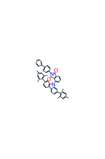 Cc1cc(C)c(-c2ccc3c4ccc(-c5c(C)cc(C)cc5C)cc4n(-c4cccc5c4C(=O)N(c4ccc(-c6ccccc6)cc4)C5=O)c3c2)c(C)c1